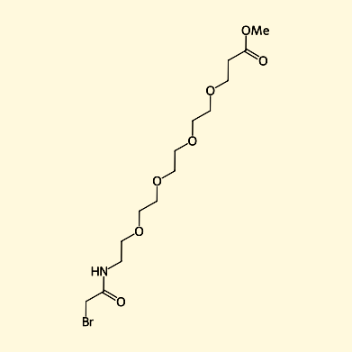 COC(=O)CCOCCOCCOCCOCCNC(=O)CBr